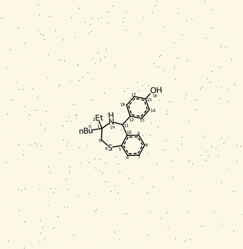 CCCCC1(CC)CSc2ccccc2C(c2ccc(O)cc2)N1